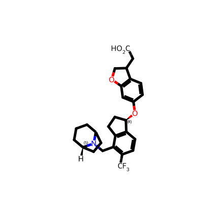 O=C(O)CC1COc2cc(O[C@@H]3CCc4c3ccc(C(F)(F)F)c4CN3C4CCC[C@H]3CC4)ccc21